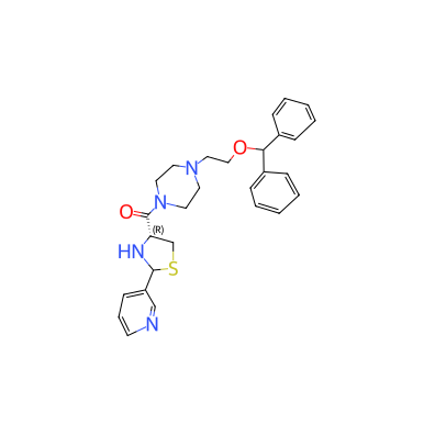 O=C([C@@H]1CSC(c2cccnc2)N1)N1CCN(CCOC(c2ccccc2)c2ccccc2)CC1